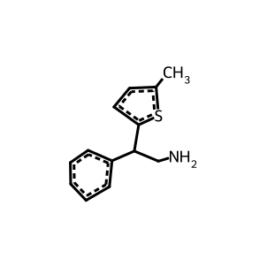 Cc1ccc(C(CN)c2ccccc2)s1